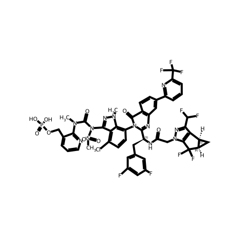 CN(C(=O)N(c1nn(C)c2c(-n3c([C@H](Cc4cc(F)cc(F)c4)NC(=O)Cn4nc(C(F)F)c5c4C(F)(F)[C@@H]4C[C@H]54)nc4cc(-c5cccc(C(F)(F)F)n5)ccc4c3=O)ccc(Cl)c12)S(C)(=O)=O)c1ncccc1COP(=O)(O)O